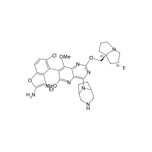 CCc1c(N)oc2ccc(Cl)c(-c3c(OC)nc4c(N5C6CCC5CNC6)nc(OC[C@@]56CCCN5C[C@H](F)C6)nc4c3OC)c12